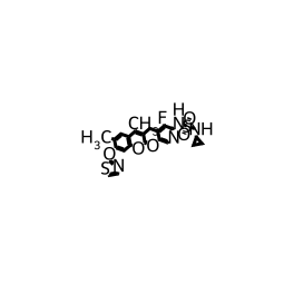 Cc1cc2c(C)c(Cc3ccnc(NS(=O)(=O)NC4CC4)c3F)c(=O)oc2cc1Oc1nccs1